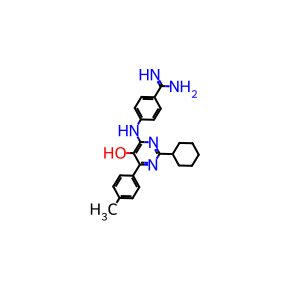 Cc1ccc(-c2nc(C3CCCCC3)nc(Nc3ccc(C(=N)N)cc3)c2O)cc1